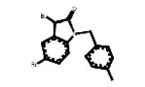 Cc1ccc(CN2C(=O)C(Br)c3cc(Br)ccc32)cc1